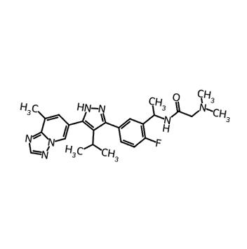 Cc1cc(-c2[nH]nc(-c3ccc(F)c(C(C)NC(=O)CN(C)C)c3)c2C(C)C)cn2ncnc12